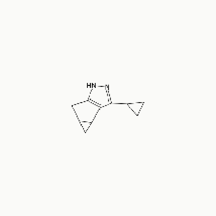 C1CC1c1n[nH]c2c1C1CC1C2